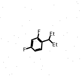 CCC(CC)c1ccc(F)cc1F